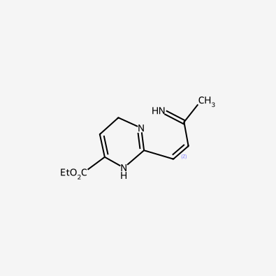 CCOC(=O)C1=CCN=C(/C=C\C(C)=N)N1